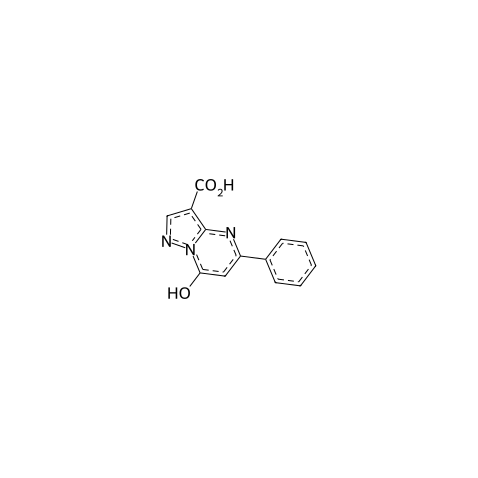 O=C(O)c1cnn2c(O)cc(-c3ccccc3)nc12